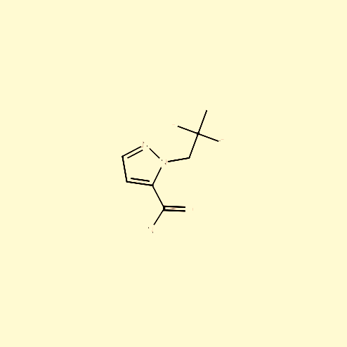 CC(F)(F)Cn1nccc1C(N)=O